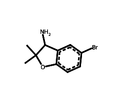 CC1(C)Oc2ccc(Br)cc2C1N